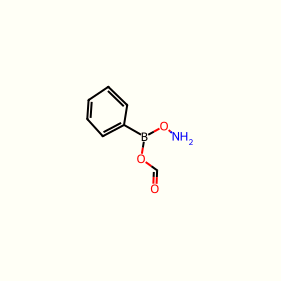 NOB(OC=O)c1ccccc1